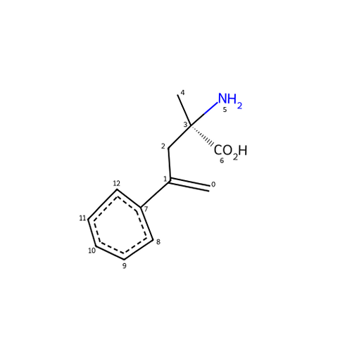 C=C(C[C@@](C)(N)C(=O)O)c1ccccc1